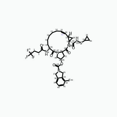 O=C(CCC(F)(F)F)N[C@H]1CCCCC/C=C\[C@@H]2C[C@@]2(C(=O)NSC2CC2)NC(=O)C2C[C@@H](OC(=O)N3Cc4cccc(F)c4C3)CN2C1=O